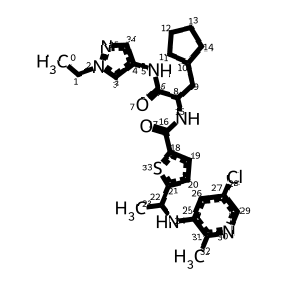 CCn1cc(NC(=O)C(CC2CCCC2)NC(=O)c2ccc(C(C)Nc3cc(Cl)cnc3C)s2)cn1